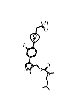 CC(C)CCN(C)C(=O)OCc1c(-c2ccc(C34CCC(CC(=O)O)(CC3)OC4)c(F)c2)cnn1C